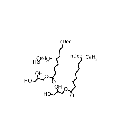 CCCCCCCCCCCCCCCCCC(=O)OCC(O)CO.CCCCCCCCCCCCCCCCCC(=O)OCC(O)CO.O=C(O)O.[CaH2].[CaH2]